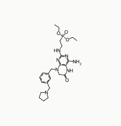 CCOP(=O)(CCNc1nc(N)c2c(n1)N(Cc1cccc(CN3CCCC3)c1)CC(=O)N2)OCC